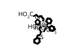 C=C1C[C@@H](O)[C@H](/C=C/[C@@H](CC(C)(C)[Si](O)(c2ccccc2)c2ccccc2)c2cc3ccccc3s2)[C@H]1C/C=C\CCCC(=O)O